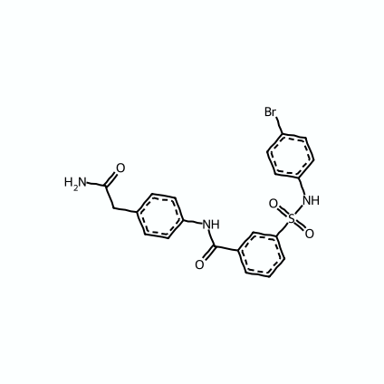 NC(=O)Cc1ccc(NC(=O)c2cccc(S(=O)(=O)Nc3ccc(Br)cc3)c2)cc1